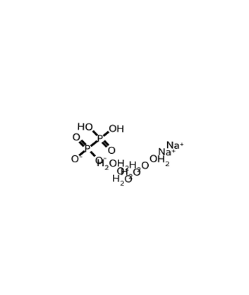 O.O.O.O.O.O.O=P([O-])([O-])P(=O)(O)O.[Na+].[Na+]